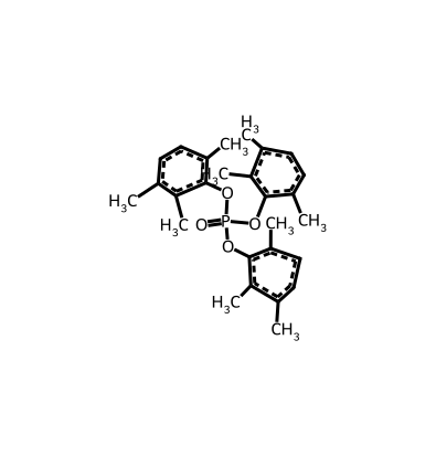 Cc1ccc(C)c(OP(=O)(Oc2c(C)ccc(C)c2C)Oc2c(C)ccc(C)c2C)c1C